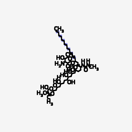 C/C=C/C=C/C=C/C=C/C=C/C=C/C=C/C(C[C@@H]1OC(O)(CC(O)CC(O)C(O)CCC(O)CC(O)CC(=O)O[C@@H](C)[C@H](C)CO)CCC1NC(=O)NC)OC1OC(C)C(O)C(N)C1O